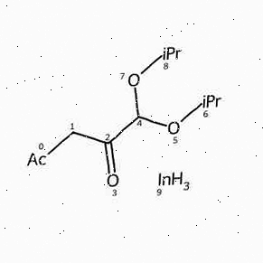 CC(=O)CC(=O)C(OC(C)C)OC(C)C.[InH3]